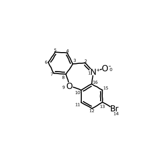 [O-][N+]1=Cc2ccccc2Oc2ccc(Br)cc21